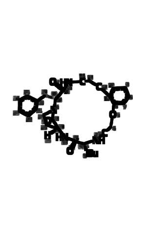 CCC(C)[C@@H]1NCCOc2ccccc2CCCNC(=O)[C@@H](Cc2ccccc2)N2CC[C@@H](NC1=O)C2=O